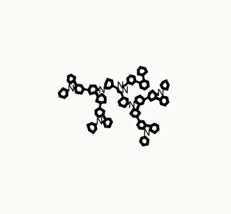 c1ccc(-c2ccccc2-c2cccc(-c3nc(-c4cccc(-n5c6ccc(-c7ccc8c(c7)c7ccccc7n8-c7ccccc7)cc6c6cc(-c7ccc8c(c7)c7ccccc7n8-c7ccccc7)ccc65)c4)cc(-c4cccc(-n5c6ccc(-c7ccc8c(c7)c7ccccc7n8-c7ccccc7)cc6c6cc(-c7ccc8c(c7)c7ccccc7n8-c7ccccc7)ccc65)c4)n3)c2)cc1